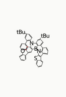 CC(C)(C)c1ccc(N2c3cc4oc5ccccc5c4cc3B3c4c(cc(C(C)(C)C)cc42)-c2cccc4c5c6ccccc6sc5n3c24)c(-c2ccccc2)c1